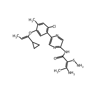 C/C=C(\Oc1cc(-c2cnc(NC(=O)/C(SN)=C(\C)N)cn2)c(Cl)cc1C)C1CC1